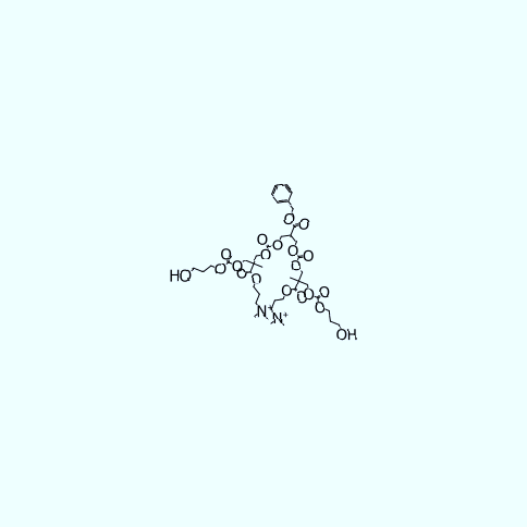 CC(COC(=O)OCCCO)(COC(=O)OCC(COC(=O)OCC(C)(COC(=O)OCCCO)C(=O)OCCC[N+](C)(C)C)C(=O)OCc1ccccc1)C(=O)OCCC[N+](C)(C)C